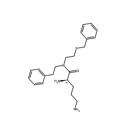 NCCC[C@@H](N)C(=O)N(CCSCc1ccccc1)CCc1ccccc1